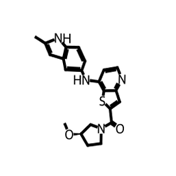 CO[C@@H]1CCN(C(=O)c2cc3nccc(Nc4ccc5[nH]c(C)cc5c4)c3s2)C1